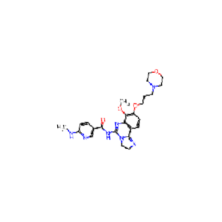 CNc1ccc(C(=O)NC2=Nc3c(ccc(OCCCN4CCOCC4)c3OC)C3=NCCN23)cn1